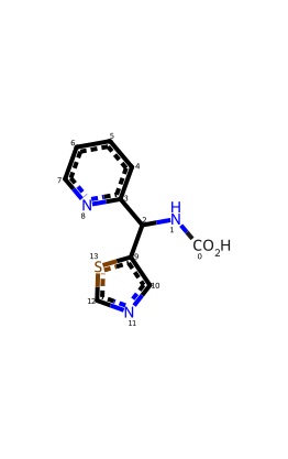 O=C(O)NC(c1ccccn1)c1cncs1